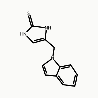 S=c1[nH]cc(Cn2ccc3ccccc32)[nH]1